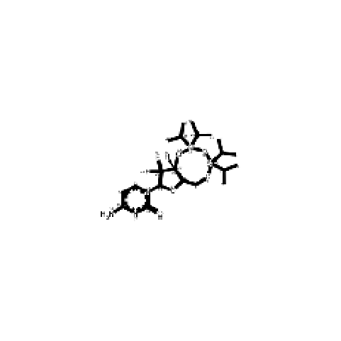 CC(C)[Si]1(C(C)C)OCC2OC(n3ccc(N)nc3=O)C(F)(F)[C@@H]2O[Si](C(C)C)(C(C)C)O1